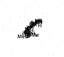 COC(=O)NC(C(=O)N1[C@@H]2CCC(C2)[C@H]1c1nc2ccc(-c3ccc4c(c3)C(F)(F)c3cc(-c5cnc([C@@H]6CCCN6)[nH]5)ccc3-4)cc2[nH]1)[C@@H](C)OC